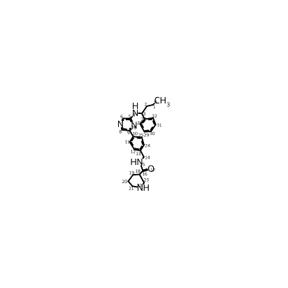 CCCC(Nc1cncc(-c2ccc(CNC(=O)C3CCCNC3)cc2)n1)c1ccccc1